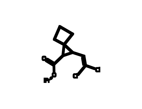 CC(C)OC(=O)C1C(C=C(Cl)Cl)C12CCC2